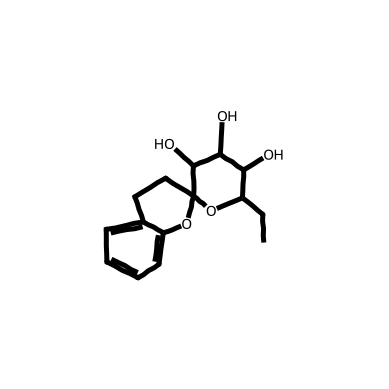 CCC1OC2(CCc3ccccc3O2)C(O)C(O)C1O